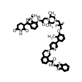 Cc1c(OCC(F)(F)CN2CC(C)N(CC(=O)Nc3cccc4c(C5CCC(=O)NC5=O)nn(C)c34)C(C)C2)cccc1-c1ccc(N2CCc3cccc(C(=O)Nc4nc5ccccc5s4)c3C2)nc1